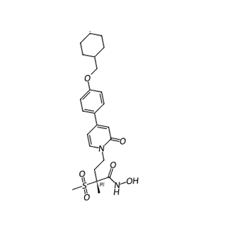 C[C@@](CCn1ccc(-c2ccc(OCC3CC[CH]CC3)cc2)cc1=O)(C(=O)NO)S(C)(=O)=O